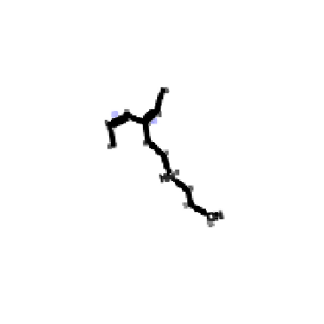 C/C=C\C(=C/C)CCNCCO